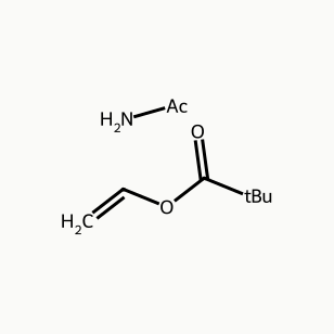 C=COC(=O)C(C)(C)C.CC(N)=O